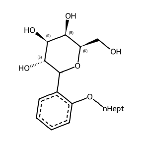 CCCCCCCOc1ccccc1[C]1O[C@H](CO)[C@H](O)[C@H](O)[C@H]1O